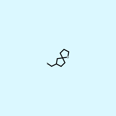 ICC1CCC2(CCCO2)C1